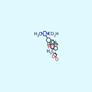 CN1CCN(C(=O)O)C(C2CC[C@@]3(C)C(CC[C@@H]4[C@@H]3CC[C@]3(C)[C@@H](C5=CC(=O)OC5)CC[C@]43O)C2)C1